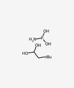 CCCCCC(O)O.NP(O)O